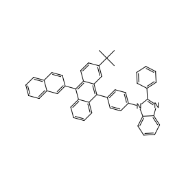 CC(C)(C)c1ccc2c(-c3ccc4ccccc4c3)c3ccccc3c(-c3ccc(-n4c(-c5ccccc5)nc5ccccc54)cc3)c2c1